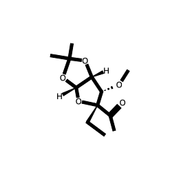 CC[C@@]1(C(C)=O)O[C@@H]2OC(C)(C)O[C@@H]2[C@@H]1OC